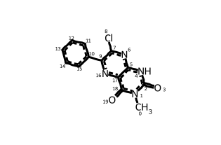 Cn1c(=O)[nH]c2nc(Cl)c(-c3ccccc3)nc2c1=O